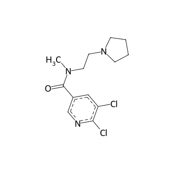 CN(CCN1CCCC1)C(=O)c1cnc(Cl)c(Cl)c1